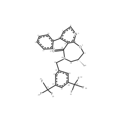 C[C@H]1COc2nccc(-c3ccccc3)c2C(=O)N(Cc2cc(C(F)(F)F)cc(C(F)(F)F)c2)C1